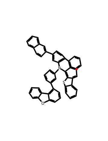 c1ccc(-c2ccc(-c3ccc4ccccc4c3)cc2N(c2cccc(-c3cccc4oc5ccccc5c34)c2)c2cccc3c2sc2ccccc23)cc1